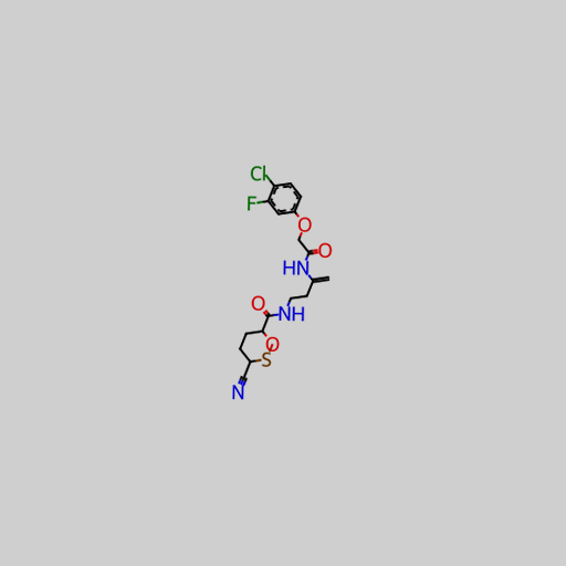 C=C(CCNC(=O)C1CCC(C#N)SO1)NC(=O)COc1ccc(Cl)c(F)c1